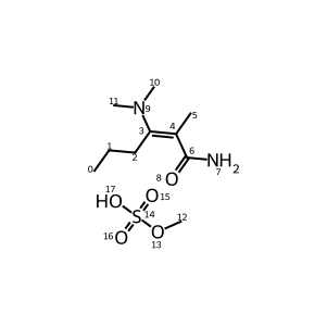 CCCC(=C(C)C(N)=O)N(C)C.COS(=O)(=O)O